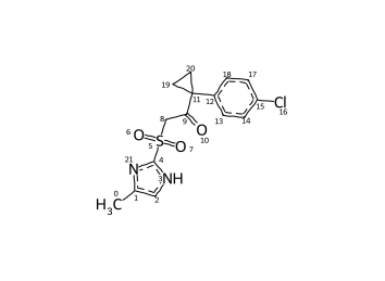 Cc1c[nH]c(S(=O)(=O)CC(=O)C2(c3ccc(Cl)cc3)CC2)n1